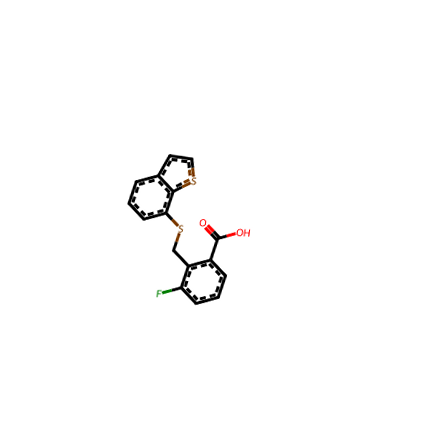 O=C(O)c1cccc(F)c1CSc1cccc2ccsc12